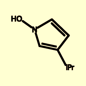 CC(C)c1ccn(O)c1